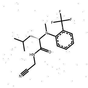 CC(C)C[C@@H](C(=O)NCC#N)N(C)c1ccccc1C(F)(F)F